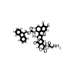 CC[C@@]1(OC(=O)CN)C(=O)OCc2c1cc1n(c2=O)Cc2c-1nc1cc(F)c(C)c3c1c2[C@H](NC(=O)OCC1c2ccccc2-c2ccccc21)CC3